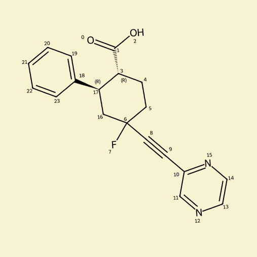 O=C(O)[C@@H]1CCC(F)(C#Cc2cnccn2)C[C@H]1c1ccccc1